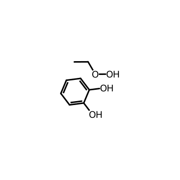 CCOO.Oc1ccccc1O